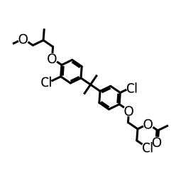 COCC(C)COc1ccc(C(C)(C)c2ccc(OCC(CCl)OC(C)=O)c(Cl)c2)cc1Cl